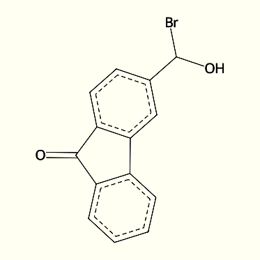 O=C1c2ccccc2-c2cc(C(O)Br)ccc21